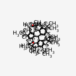 CC1(C)Sc2c(c([Si](C)(C)C)c3c(c2C(c2c4c(c([Si](C)(C)C)c5c2SC(C)(C)S5)SC(C)(C)S4)c2c4c(c([Si](C)(C)C)c5c2SC(C)(C)S5)SC(C)(C)S4)SC(C)(C)S3)S1